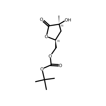 CC(C)(C)OC(=O)OC[C@@H]1C[C@](C)(O)C(=O)O1